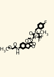 COCC(=O)Nc1ccc2c(c1)CC(=O)[C@]21OCN(CC(=O)N(Cc2ccc(F)cc2)[C@@H](C)C(F)(F)F)C1=O